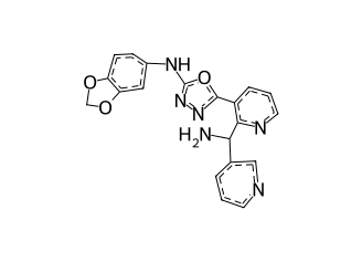 NC(c1cccnc1)c1ncccc1-c1nnc(Nc2ccc3c(c2)OCO3)o1